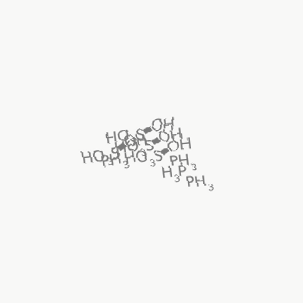 O=S(=O)(O)O.O=S(=O)(O)O.O=S(=O)(O)O.O=S(=O)(O)O.P.P.P.P